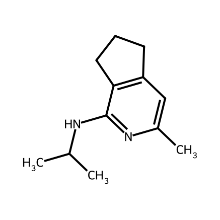 Cc1cc2c(c(NC(C)C)n1)CCC2